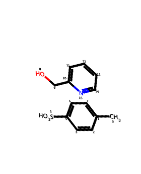 Cc1ccc(S(=O)(=O)O)cc1.OCc1ccccn1